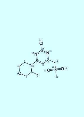 CC1COCCN1c1cc(CS(C)(=O)=O)nc(Cl)n1